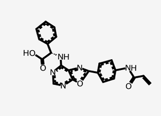 C=CC(=O)Nc1ccc(-c2nc3c(N[C@H](C(=O)O)c4ccccc4)ncnc3o2)cc1